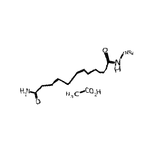 CC(=O)O.CCCCNC(=O)CCCCCCCCC(N)=O